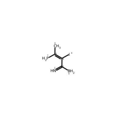 BC(=N)/C(I)=C(/C)P